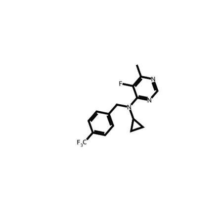 Cc1ncnc(N(Cc2ccc(C(F)(F)F)cc2)C2CC2)c1F